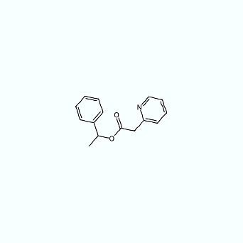 CC(OC(=O)Cc1ccccn1)c1ccccc1